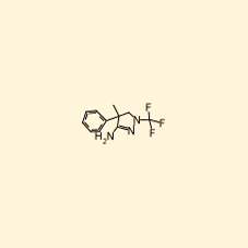 CC1(c2ccccc2)CN(C(F)(F)F)N=C1N